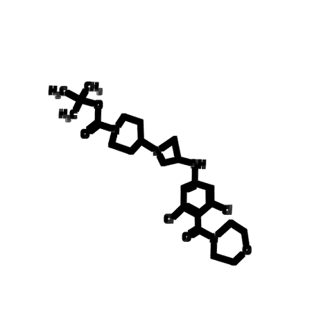 CC(C)(C)OC(=O)N1CCC(N2CC(Nc3cc(Cl)c(C(=O)N4CCOCC4)c(Cl)c3)C2)CC1